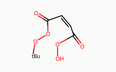 CC(C)(C)OOC(=O)/C=C\C(=O)OO